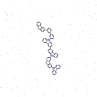 C1=C2c3cc(-n4c5ccccc5c5ccccc54)ccc3SC2CC=C1n1c2ccccc2c2cc(-c3ccc4c(c3)c3ccccc3n4-c3cccc(-c4cccc(-c5ccc6sc7ccccc7c6c5)c4)c3)ccc21